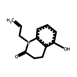 C=CCN1C(=O)CCc2c(O)cccc21